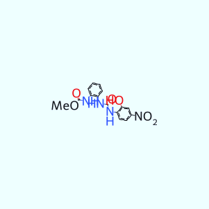 COC(=O)Nc1ccccc1NC(=O)Nc1ccc([N+](=O)[O-])cc1O